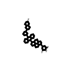 Fc1ccc2cc(-c3cccc(-c4c5ccccc5c(-c5ccc6ccc7c(-c8cc(F)c(F)c(F)c8)ccc8ccc5c6c87)c5ccccc45)c3)ccc2c1